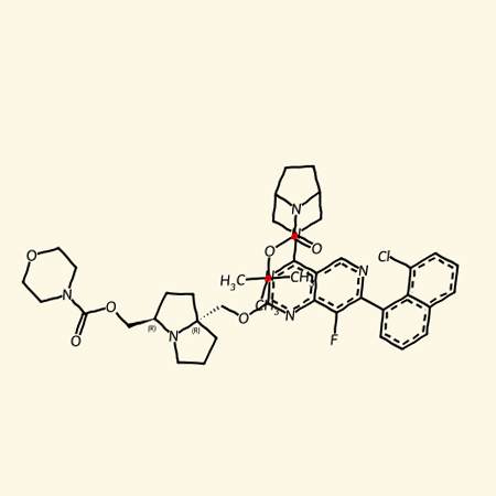 CC(C)(C)OC(=O)N1C2CCC1CN(c1nc(OC[C@]34CCCN3[C@@H](COC(=O)N3CCOCC3)CC4)nc3c(F)c(-c4cccc5cccc(Cl)c45)ncc13)C2